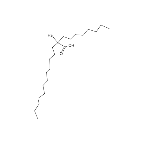 CCCCCCCCCCCCC(S)(CCCCCCCC)C(=O)O